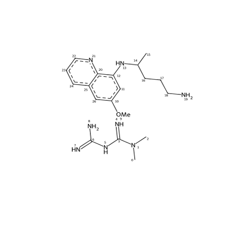 CN(C)C(=N)NC(=N)N.COc1cc(NC(C)CCCN)c2ncccc2c1